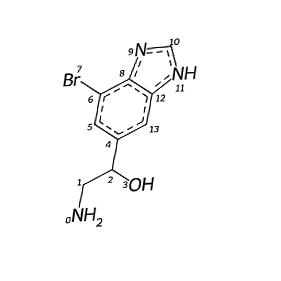 NCC(O)c1cc(Br)c2nc[nH]c2c1